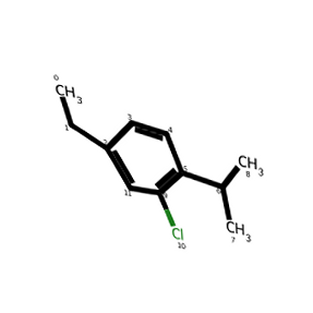 CCc1ccc(C(C)C)c(Cl)c1